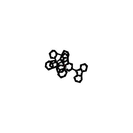 c1ccc(-c2ccccc2-n2c3ccc(-n4c5ccccc5c5ccccc54)cc3c3cccc(-c4ccccc4[Si](c4ccccc4)(c4ccccc4)c4ccccc4)c32)cc1